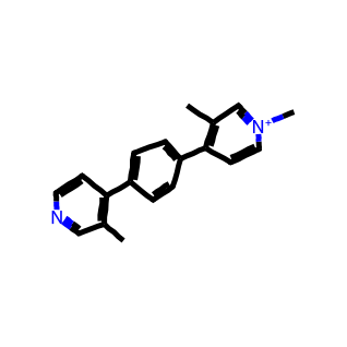 Cc1cnccc1-c1ccc(-c2cc[n+](C)cc2C)cc1